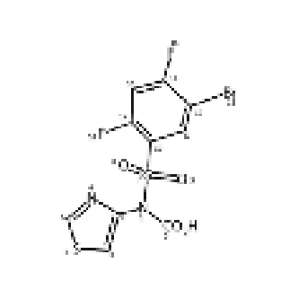 O=C(O)N(c1cscn1)S(=O)(=O)c1cc(Br)c(F)cc1F